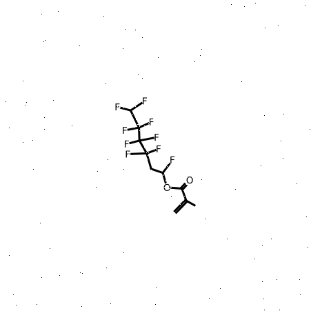 C=C(C)C(=O)OC(F)CC(F)(F)C(F)(F)C(F)(F)C(F)F